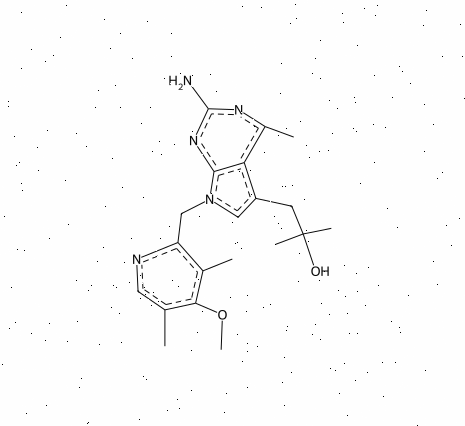 COc1c(C)cnc(Cn2cc(CC(C)(C)O)c3c(C)nc(N)nc32)c1C